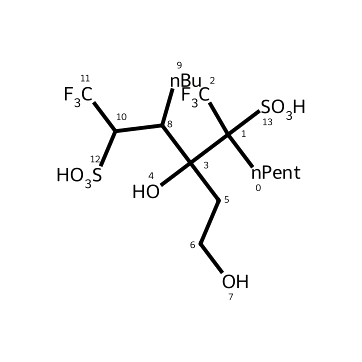 CCCCCC(C(F)(F)F)(C(O)(CCO)C(CCCC)C(C(F)(F)F)S(=O)(=O)O)S(=O)(=O)O